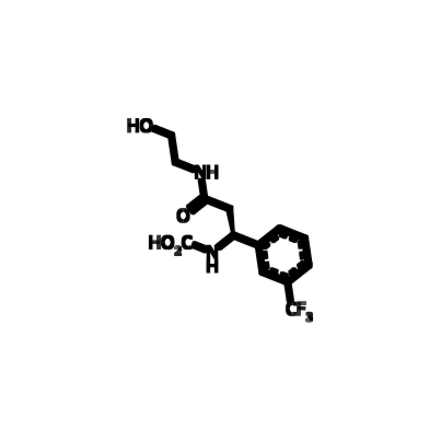 O=C(O)N[C@@H](CC(=O)NCCO)c1cccc(C(F)(F)F)c1